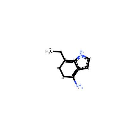 CCC1=c2[nH]ccc2=C(N)CC1